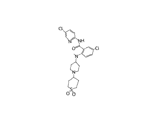 CN(c1ccc(Cl)cc1C(=O)Nc1ccc(Cl)cn1)C1CCN(C2CCS(=O)(=O)CC2)CC1